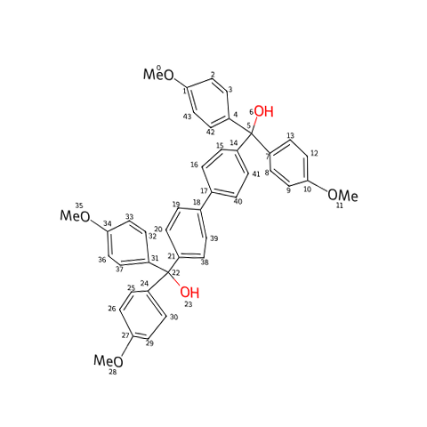 COc1ccc(C(O)(c2ccc(OC)cc2)c2ccc(-c3ccc(C(O)(c4ccc(OC)cc4)c4ccc(OC)cc4)cc3)cc2)cc1